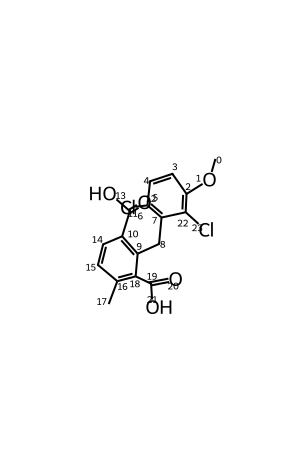 COc1ccc(Cl)c(Cc2c(C(=O)O)ccc(C)c2C(=O)O)c1Cl